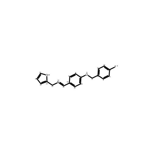 Fc1ccc(COc2ccc(C=NCc3ccco3)cc2)cc1